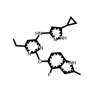 CCc1cc(Nc2cc(C3CC3)[nH]n2)nc(Oc2ccc3[nH]c(C)cc3c2F)n1